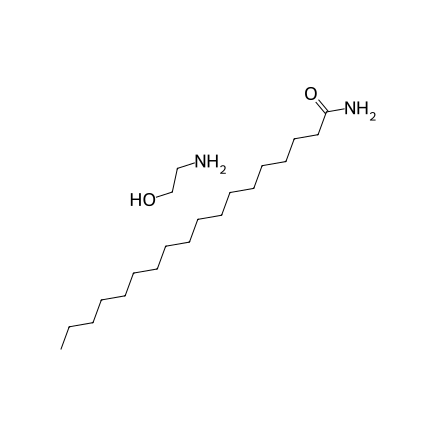 CCCCCCCCCCCCCCCCCC(N)=O.NCCO